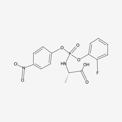 C[C@H](NP(=O)(Oc1ccc([N+](=O)[O-])cc1)Oc1ccccc1F)C(=O)O